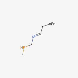 CCCC/C=N/CPC